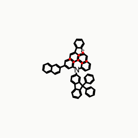 c1ccc(-c2ccc(-c3ccc4ccccc4c3)cc2N(c2ccc3c(c2)C(c2ccccc2)(c2ccccc2)c2ccccc2-3)c2ccccc2-c2cccc3c2sc2ccccc23)cc1